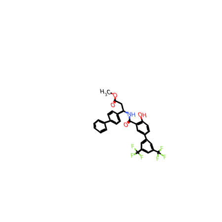 COC(=O)CC(NC(=O)c1cc(-c2cc(C(F)(F)F)cc(C(F)(F)F)c2)ccc1O)c1ccc(-c2ccccc2)cc1